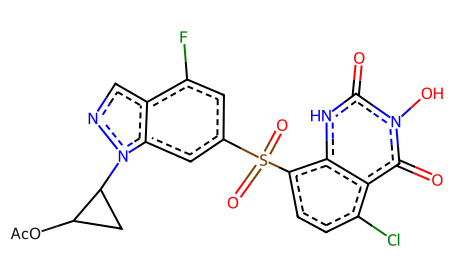 CC(=O)OC1CC1n1ncc2c(F)cc(S(=O)(=O)c3ccc(Cl)c4c(=O)n(O)c(=O)[nH]c34)cc21